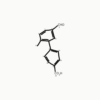 Cc1ccc(C=O)cc1-c1ccc(C(=O)O)cc1